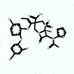 CC=C(Oc1cc(Cl)ccc1Oc1ccc(Cl)cc1Cl)C1(C(=O)O)CN2C(=O)C(N(C(C)=O)c3cccs3)[C@H]2S(=O)(=O)C1